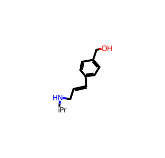 CC(C)NC/C=C/c1ccc(CO)cc1